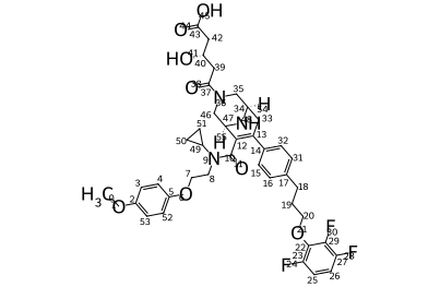 COc1ccc(OCCN(C(=O)C2=C(c3ccc(CCCOc4c(F)ccc(F)c4F)cc3)C[C@@H]3CN(C(=O)C[C@H](O)CC(=O)O)C[C@H]2N3)C2CC2)cc1